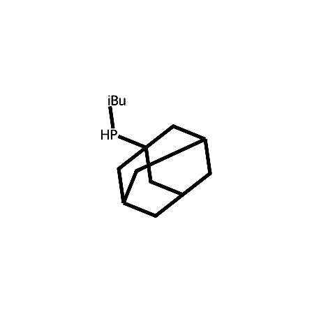 CCC(C)PC12CC3CC(CC(C3)C1)C2